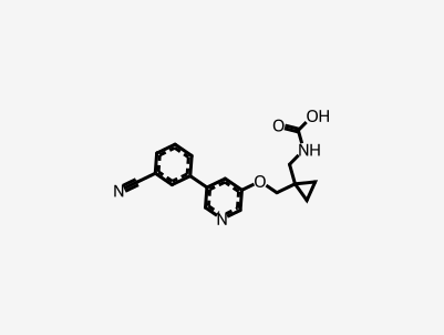 N#Cc1cccc(-c2cncc(OCC3(CNC(=O)O)CC3)c2)c1